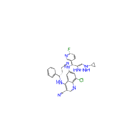 N#CCC[C@H](Nc1c(C#N)cnc2c(Cl)cc(NC(C3=CN(C4CC4)NN3)c3ccc(F)nc3)cc12)c1ccccc1